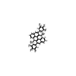 Fc1cc(-c2cc3ccccc3c(-c3c(CBr)c(-c4cc(F)c(F)c(F)c4)cc4ccccc34)c2CBr)cc(F)c1F